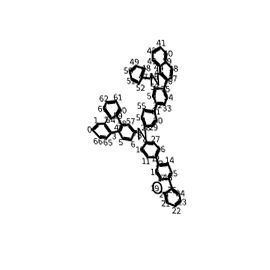 c1ccc(-c2ccc(N(c3ccc(-c4ccc5c(c4)oc4ccccc45)cc3)c3ccc(-c4ccc5c6ccc7ccccc7c6n(-c6ccccc6)c5c4)cc3)cc2-c2ccccc2)cc1